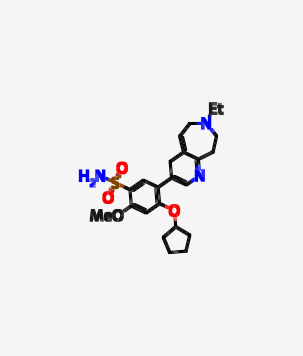 CCN1CC=C2CC(c3cc(S(N)(=O)=O)c(OC)cc3OC3CCCC3)=CN=C2CC1